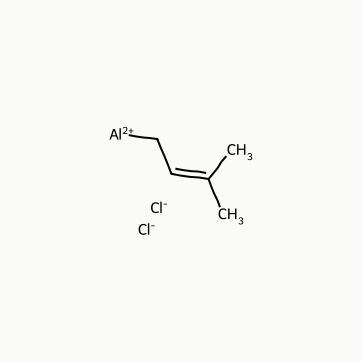 CC(C)=C[CH2][Al+2].[Cl-].[Cl-]